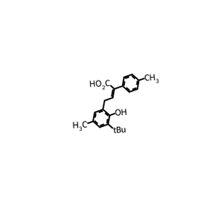 Cc1ccc(C(=CCc2cc(C)cc(C(C)(C)C)c2O)C(=O)O)cc1